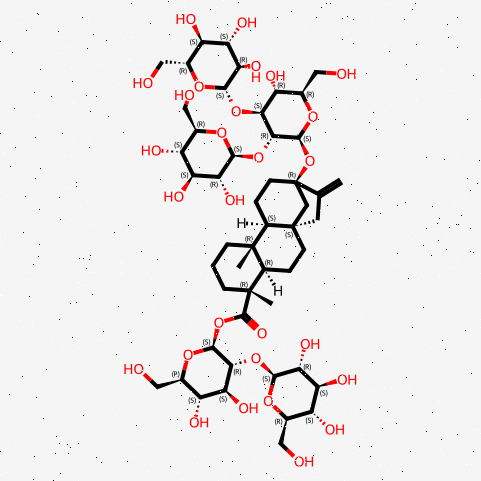 C=C1C[C@]23CC[C@@H]4[C@](C)(CCC[C@@]4(C)C(=O)O[C@@H]4O[C@H](CO)[C@@H](O)[C@H](O)[C@H]4O[C@@H]4O[C@H](CO)[C@@H](O)[C@H](O)[C@H]4O)[C@H]2CC[C@@]1(O[C@@H]1O[C@H](CO)[C@@H](O)[C@H](O[C@@H]2O[C@H](CO)[C@@H](O)[C@H](O)[C@H]2O)[C@H]1O[C@@H]1O[C@H](CO)[C@@H](O)[C@H](O)[C@H]1O)C3